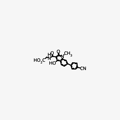 Cn1c(=O)c(C(=O)NCC(=O)O)c(O)c2ccc(-c3ccc(C#N)cc3)cc21